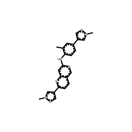 Cc1cc(-c2cnn(C)c2)ccc1Nc1cc2nc(-c3cnn(C)c3)ccc2cn1